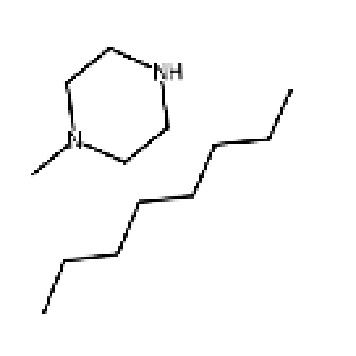 CCCCCCCC.CN1CCNCC1